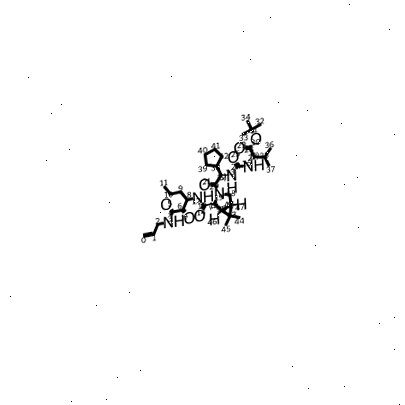 C=CCNC(=O)C(=O)C(CCC)NC(=O)[C@@H]1[C@@H]2[C@H](CN1C(=O)[C@@H](NC(=O)N[C@H](C(=O)OC(C)(C)C)C(C)C)C1CCCC1)C2(C)C